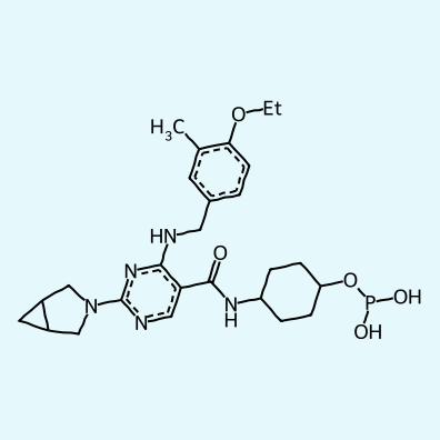 CCOc1ccc(CNc2nc(N3CC4CC4C3)ncc2C(=O)NC2CCC(OP(O)O)CC2)cc1C